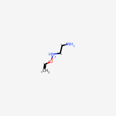 C=CONCCN